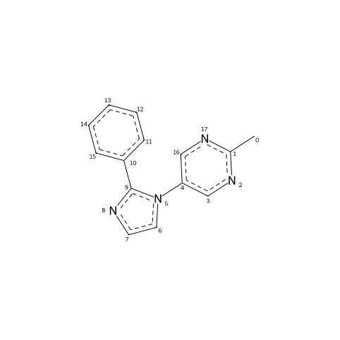 Cc1ncc(-n2ccnc2-c2ccccc2)cn1